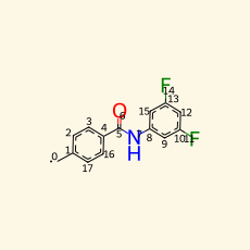 [CH2]c1ccc(C(=O)Nc2cc(F)cc(F)c2)cc1